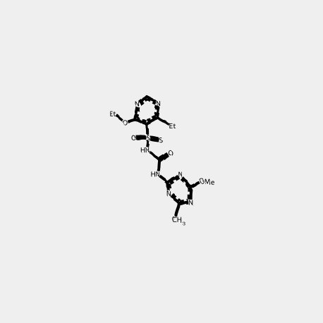 CCOc1ncnc(CC)c1S(=O)(=S)NC(=O)Nc1nc(C)nc(OC)n1